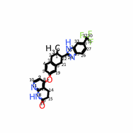 CC1Cc2ccc(Oc3ccnc4c3CCC(=O)N4)cc2CC1c1nc2ccc(C(F)(F)F)cc2[nH]1